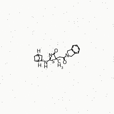 CC1(CC(=O)N2Cc3ccccc3C2)SC(N[C@H]2C[C@@H]3CC[C@H]2C3)=NC1=O